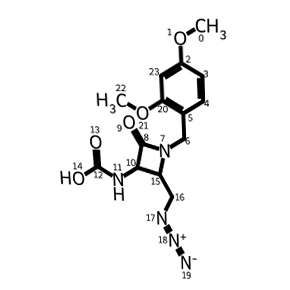 COc1ccc(CN2C(=O)C(NC(=O)O)C2CN=[N+]=[N-])c(OC)c1